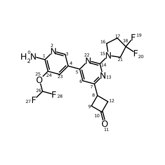 Nc1ncc(-c2cc(C3CC(=O)C3)nc(N3CCC(F)(F)C3)n2)cc1OC(F)F